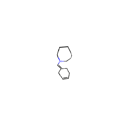 C1=CCC(=CN2CCCCC2)CC1